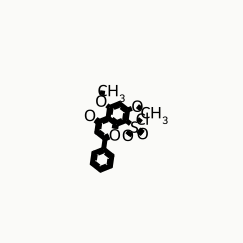 COc1cc(OC)c2c(=O)cc(-c3ccccc3)oc2c1S(=O)(=O)Cl